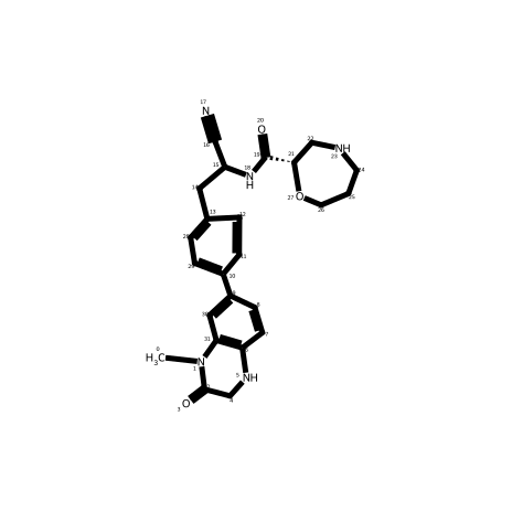 CN1C(=O)CNc2ccc(-c3ccc(CC(C#N)NC(=O)[C@@H]4CNCCCO4)cc3)cc21